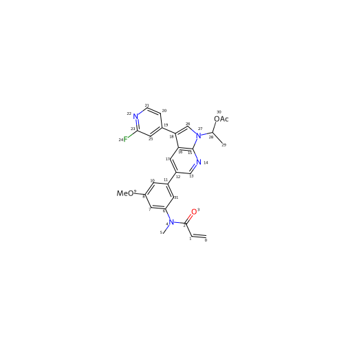 C=CC(=O)N(C)c1cc(OC)cc(-c2cnc3c(c2)c(-c2ccnc(F)c2)cn3C(C)OC(C)=O)c1